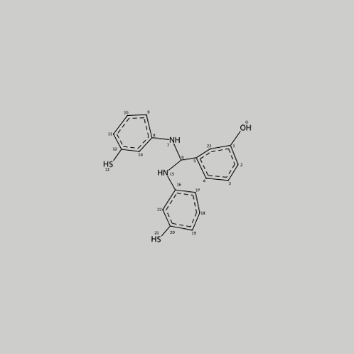 Oc1cccc(C(Nc2cccc(S)c2)Nc2cccc(S)c2)c1